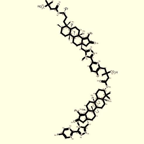 CC[C@H](CC[C@@]1(C)[C@H](C)CC[C@]2(C)[C@@H]1CC[C@@H]1C3=C(C(C)C)C(=O)C[C@]3(Cc3nnc(-c4ccc(F)c(CC(C)(CC(=O)O[C@H]5CC[C@]6(C)[C@H]7CC[C@@H]8C9=C(C(C)C)C(=O)C[C@]9(Cc9nnc(-c%10ncc(F)cn%10)n9C)CC[C@@]8(C)[C@]7(C)CC[C@H]6C5(C)C)C(=O)O)n4)n3C)CC[C@]12C)OC(=O)CC(C)(C)C(=O)O